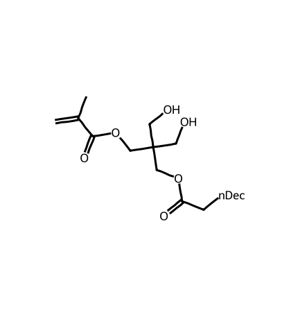 C=C(C)C(=O)OCC(CO)(CO)COC(=O)CCCCCCCCCCC